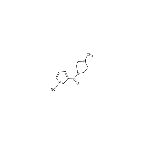 CN1CCN(C(=O)c2cccc(C#N)c2)CC1